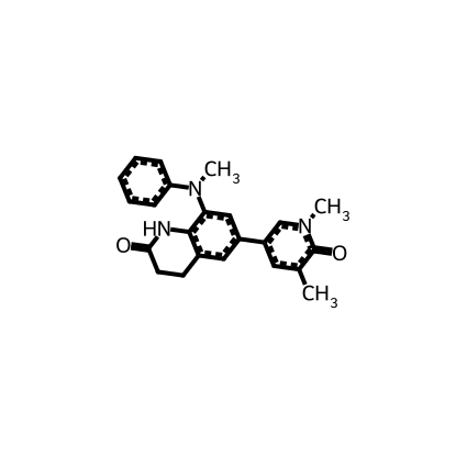 Cc1cc(-c2cc3c(c(N(C)c4ccccc4)c2)NC(=O)CC3)cn(C)c1=O